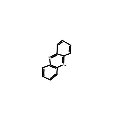 [c]1cccc2c1[As]=c1ccccc1=N2